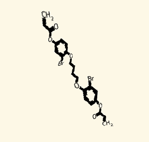 C=CC(=O)Oc1ccc(OCCCCOc2ccc(OC(=O)C=C)cc2Br)c(Br)c1